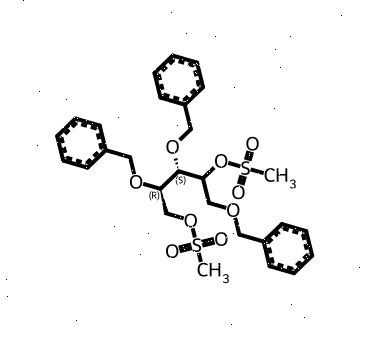 CS(=O)(=O)OC[C@@H](OCc1ccccc1)[C@H](OCc1ccccc1)C(COCc1ccccc1)OS(C)(=O)=O